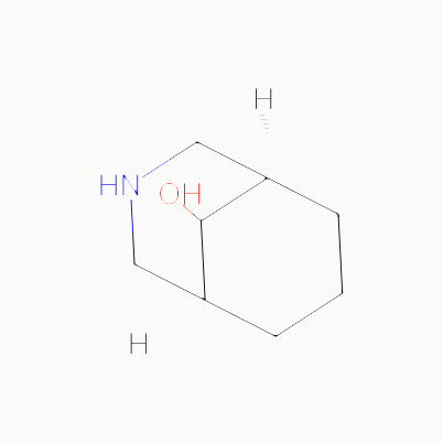 OC1[C@@H]2CCC[C@H]1CNC2